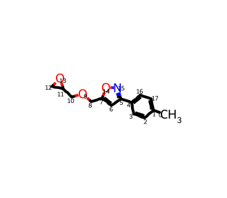 Cc1ccc(-c2cc(COCC3CO3)on2)cc1